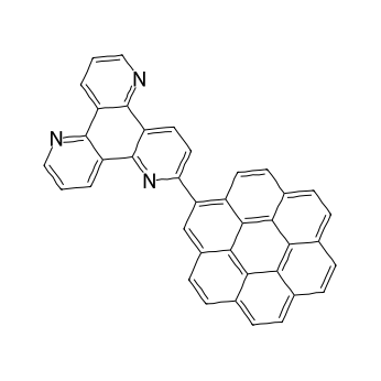 c1cnc2c(c1)c1ncccc1c1nc(-c3cc4ccc5ccc6ccc7ccc8ccc3c3c8c7c6c5c43)ccc21